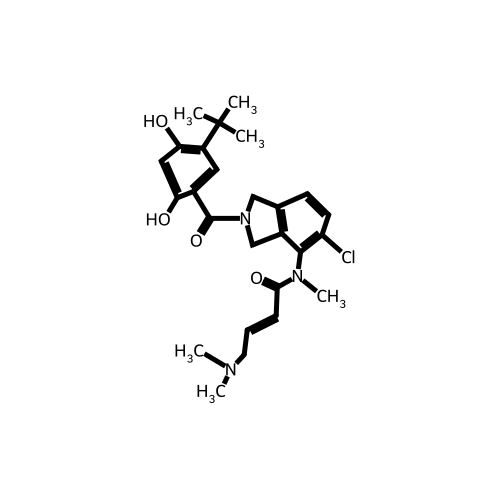 CN(C)C/C=C/C(=O)N(C)c1c(Cl)ccc2c1CN(C(=O)c1cc(C(C)(C)C)c(O)cc1O)C2